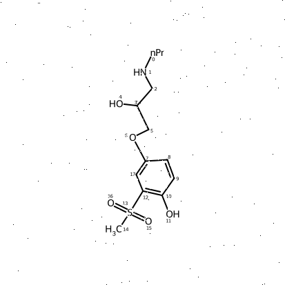 CCCNCC(O)COc1ccc(O)c(S(C)(=O)=O)c1